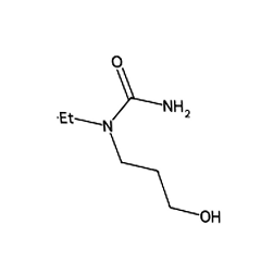 C[CH]N(CCCO)C(N)=O